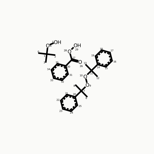 CC(C)(C)OO.CC(C)(OOC(C)(C)c1ccccc1)c1ccccc1.O=C(OO)c1ccccc1